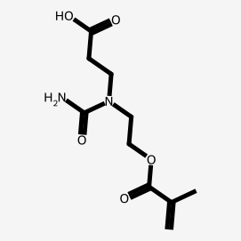 C=C(C)C(=O)OCCN(CCC(=O)O)C(N)=O